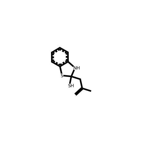 C=C(C)CC1(S)Nc2ccccc2S1